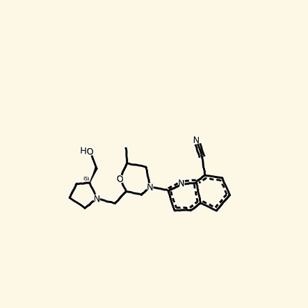 CC1CN(c2ccc3cccc(C#N)c3n2)CC(CN2CCC[C@H]2CO)O1